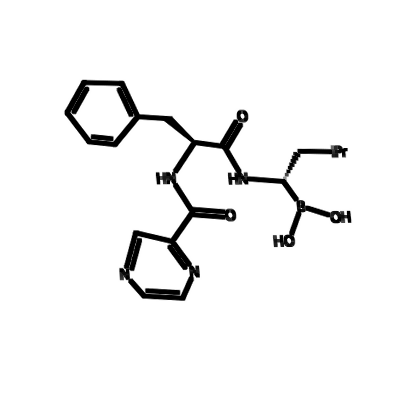 CC(C)C[C@@H](NC(=O)[C@H](Cc1ccccc1)NC(=O)c1cnccn1)B(O)O